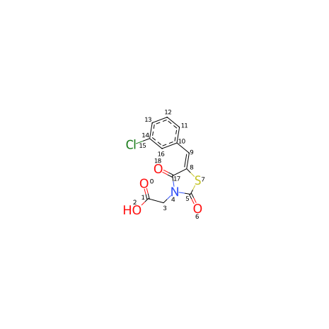 O=C(O)CN1C(=O)SC(=Cc2cccc(Cl)c2)C1=O